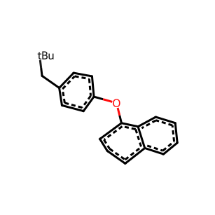 CC(C)(C)Cc1ccc(Oc2cccc3ccccc23)cc1